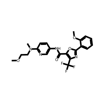 COCCN(C)c1ccc(NC(=O)c2oc(-c3ccccc3OC)nc2C(F)(F)F)cn1